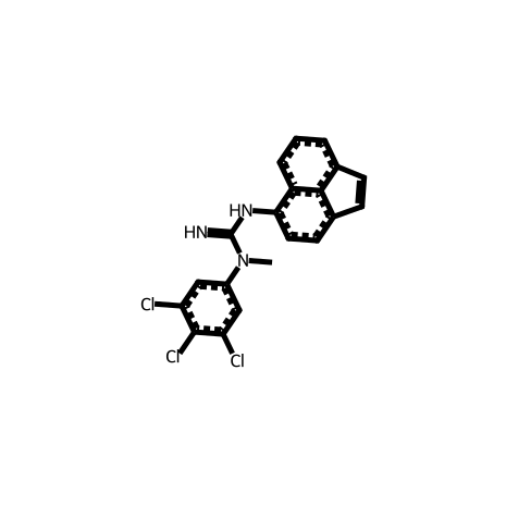 CN(C(=N)Nc1ccc2c3c(cccc13)C=C2)c1cc(Cl)c(Cl)c(Cl)c1